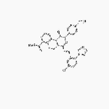 COC(=O)c1cccc2c1CCN(C(=O)/C=C/c1cc(Cl)ccc1-n1cnnn1)C2C(=O)Nc1ccc(C(=O)O)cc1